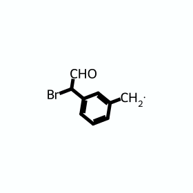 [CH2]c1cccc(C(Br)C=O)c1